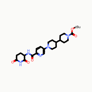 CC(C)(C)OC(=O)N1CCC(C2CCN(c3ccc(C(=O)NC4CCC(=O)NC4=O)nc3)CC2)CC1